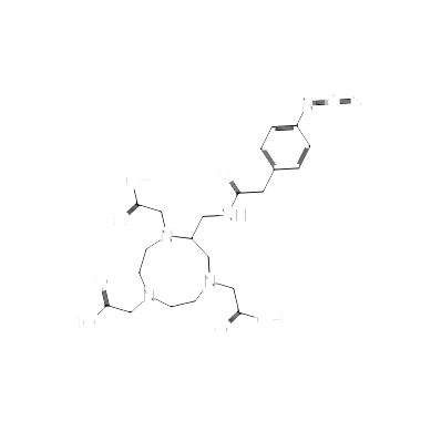 O=C(O)CN1CCN(CC(=O)O)CC(CNC(=O)Cc2ccc(N=C=S)cc2)N(CC(=O)O)CC1